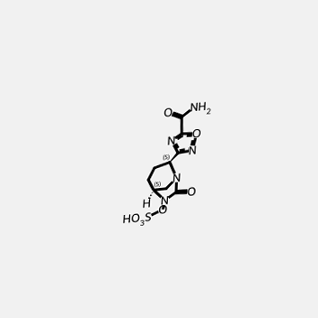 NC(=O)c1nc([C@@H]2CC[C@H]3CN2C(=O)N3OS(=O)(=O)O)no1